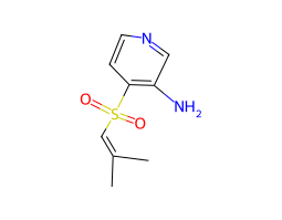 CC(C)=CS(=O)(=O)c1ccncc1N